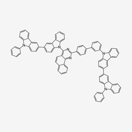 c1ccc(-n2c3ccccc3c3cc(-c4ccc5c(c4)c4ccccc4n5-c4cccc(-c5ccc(-c6nc(-n7c8ccccc8c8cc(-c9ccc%10c(c9)c9ccccc9n%10-c9ccccc9)ccc87)c7ccc8ccccc8c7n6)cc5)c4)ccc32)cc1